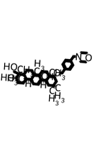 CC1(C)C[C@@H]2C3=CC[C@@H]4[C@@]5(C)CC[C@H](O)C(C)(CO)C5CC[C@@]4(C)[C@]3(C)CC[C@@]2(C)[C@H](OCc2ccc(CN3CCOCC3)cc2)C1